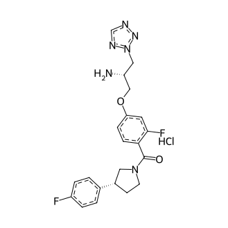 Cl.N[C@@H](COc1ccc(C(=O)N2CC[C@H](c3ccc(F)cc3)C2)c(F)c1)Cn1ncnn1